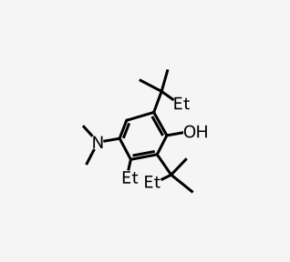 CCc1c(N(C)C)cc(C(C)(C)CC)c(O)c1C(C)(C)CC